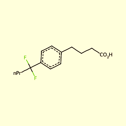 CCCC(F)(F)c1ccc(CCCC(=O)O)cc1